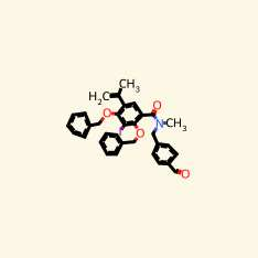 C=C(C)c1cc(C(=O)N(C)Cc2ccc(C=O)cc2)c(OCc2ccccc2)c(I)c1OCc1ccccc1